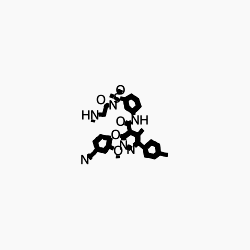 CNCC(=O)N=S(C)(=O)c1cccc(NC(=O)c2c(Oc3ccc(C#N)cc3OC)nnc(-c3ccc(C)cc3)c2C)c1